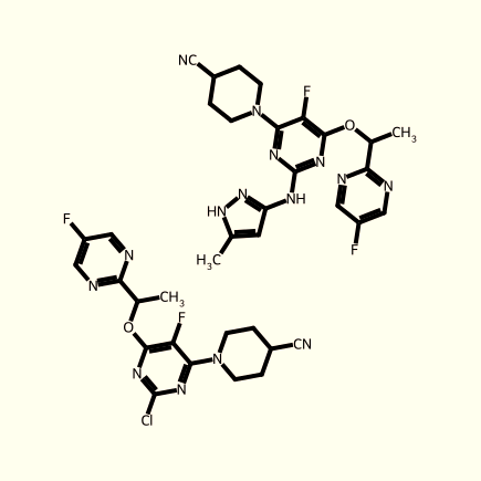 CC(Oc1nc(Cl)nc(N2CCC(C#N)CC2)c1F)c1ncc(F)cn1.Cc1cc(Nc2nc(OC(C)c3ncc(F)cn3)c(F)c(N3CCC(C#N)CC3)n2)n[nH]1